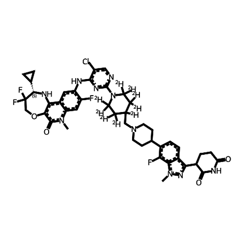 [2H]C1([2H])N(c2ncc(Cl)c(Nc3cc4c5c(c(=O)n(C)c4cc3F)OCC(F)(F)[C@H](C3CC3)N5)n2)C([2H])([2H])C([2H])([2H])C([2H])(CN2CCC(c3ccc4c(C5CCC(=O)NC5=O)nn(C)c4c3F)CC2)C1([2H])[2H]